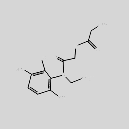 COCC(=O)SCC(=O)N(CC(=O)O)c1c(C)ccc(C)c1C